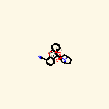 CC(C)(C)OC(=O)N1C2CCC1CC(=C1c3ccccc3Oc3c(C#N)cccc31)C2